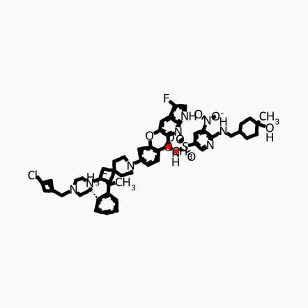 COc1nc2[nH]cc(F)c2cc1Oc1cc(N2CCC3(CC2)CC(N2CCN(CC45CC(Cl)(C4)C5)C[C@H]2c2ccccc2C(C)C)C3)ccc1C(=O)NS(=O)(=O)c1cnc(NCC2CCC(C)(O)CC2)c([N+](=O)[O-])c1